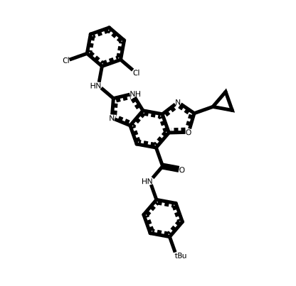 CC(C)(C)c1ccc(NC(=O)c2cc3nc(Nc4c(Cl)cccc4Cl)[nH]c3c3nc(C4CC4)oc23)cc1